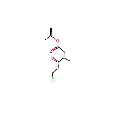 C=C(C)OC(=O)CC(C)C(=O)CCCl